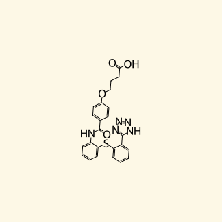 O=C(O)CCCOc1ccc(C(=O)Nc2ccccc2Sc2ccccc2-c2nnn[nH]2)cc1